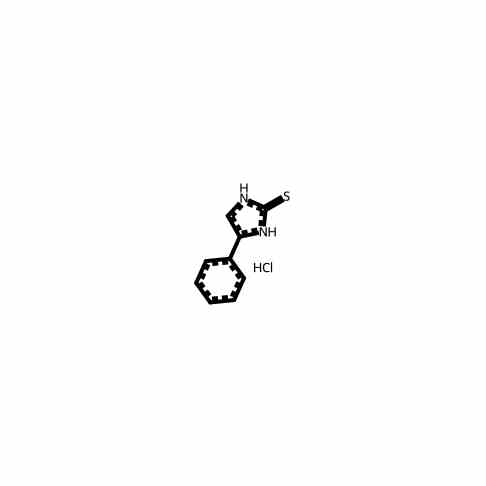 Cl.S=c1[nH]cc(-c2ccccc2)[nH]1